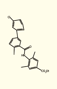 CCOC(=O)c1cc(C)c(NC(=O)c2cc(-c3cccc(Cl)c3)ccc2C)c(C)c1